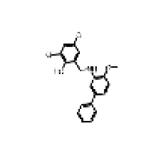 COc1ccc(-c2ccccc2)cc1NCc1cc(Cl)cc(Cl)c1O